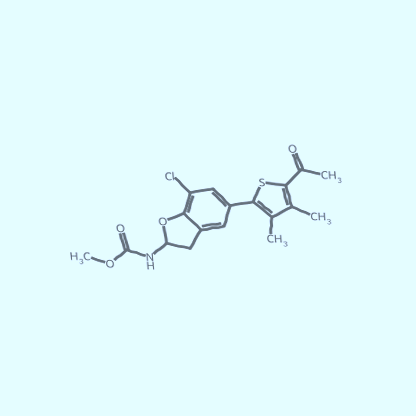 COC(=O)NC1Cc2cc(-c3sc(C(C)=O)c(C)c3C)cc(Cl)c2O1